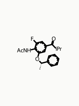 CC(=O)Nc1c(F)cc(C(=O)C(C)C)cc1O[C@@H](C)c1ccccc1